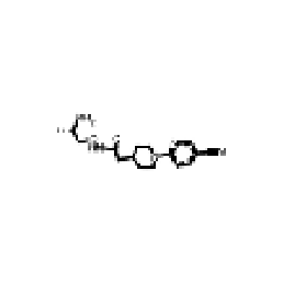 C[C@H](N)CONC(=O)CC1CCN(c2ccc(C#N)cn2)CC1